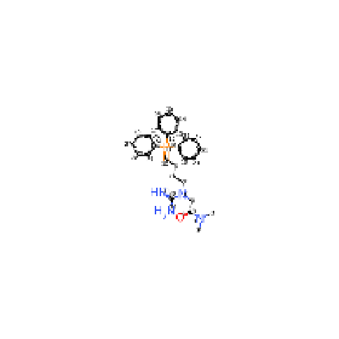 CN(C)C(=O)CN(CCCC[PH](c1ccccc1)(c1ccccc1)c1ccccc1)C(=N)N